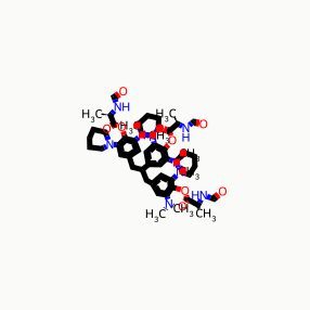 C[C@H](NC=O)C(=O)Oc1c(N(C)C)cc(CC(Cc2cc(N(C)C)c(OC(=O)[C@H](C)NC=O)c(N3CCCCC3)c2)c2cc(N(C)C)c(OC(=O)[C@H](C)NC=O)c(N3CCCCC3)c2)cc1N1CCCCC1